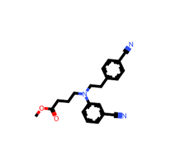 COC(=O)CCCN(CCc1ccc(C#N)cc1)c1cccc(C#N)c1